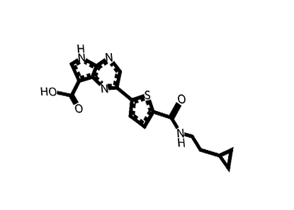 O=C(NCCC1CC1)c1ccc(-c2cnc3[nH]cc(C(=O)O)c3n2)s1